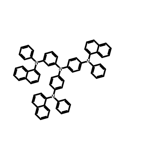 c1ccc(N(c2ccc(N(c3ccc(N(c4ccccc4)c4cccc5ccccc45)cc3)c3cccc(N(c4ccccc4)c4cccc5ccccc45)c3)cc2)c2cccc3ccccc23)cc1